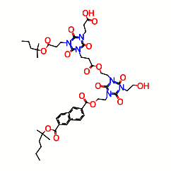 CCCCC(C)(C)OC(=O)c1ccc2cc(C(=O)OCCn3c(=O)n(CCO)c(=O)n(CCOC(=O)CCn4c(=O)n(CCC(=O)O)c(=O)n(CCC(=O)OC(C)(C)CCC)c4=O)c3=O)ccc2c1